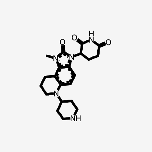 Cn1c(=O)n(C2CCC(=O)NC2=O)c2ccc3c(c21)CCCN3C1CCNCC1